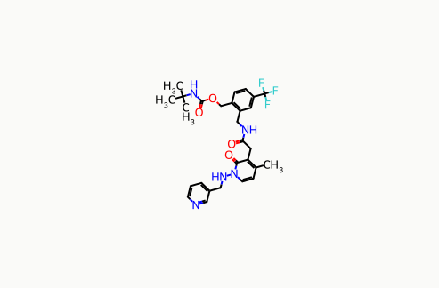 Cc1ccn(NCc2cccnc2)c(=O)c1CC(=O)NCc1cc(C(F)(F)F)ccc1COC(=O)NC(C)(C)C